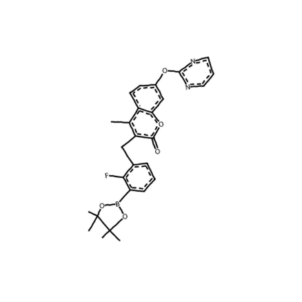 Cc1c(Cc2cccc(B3OC(C)(C)C(C)(C)O3)c2F)c(=O)oc2cc(Oc3ncccn3)ccc12